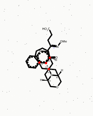 CO/N=C(\CCC(=O)O)c1nc2ccccc2n([C@H]2C[C@H]3COC[C@@H](C2)N3[C@@H]2C[C@@H]3CCCC[C@@H](C3)C2)c1=O